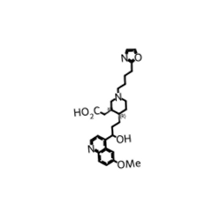 COc1ccc2nccc(C(O)CC[C@@H]3CCN(CCCCc4ncco4)C[C@@H]3CC(=O)O)c2c1